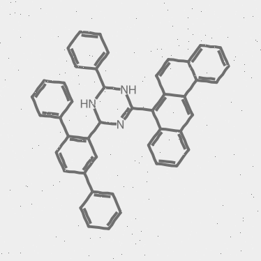 c1ccc(-c2ccc(-c3ccccc3)c(C3N=C(c4c5ccccc5cc5c4ccc4ccccc45)NC(c4ccccc4)N3)c2)cc1